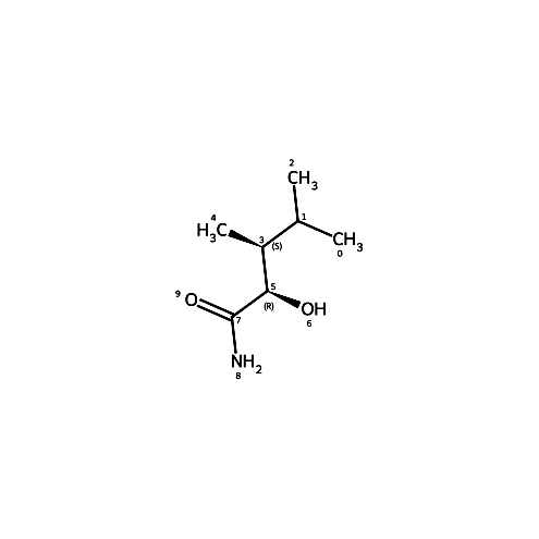 CC(C)[C@H](C)[C@@H](O)C(N)=O